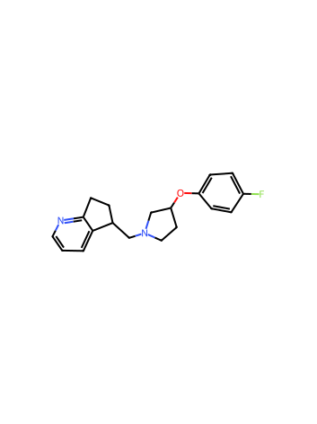 Fc1ccc(OC2CCN(CC3CCc4ncccc43)C2)cc1